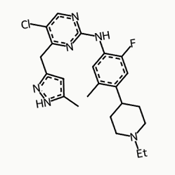 CCN1CCC(c2cc(F)c(Nc3ncc(Cl)c(Cc4cc(C)[nH]n4)n3)cc2C)CC1